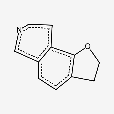 c1cc2c3c(ccc2cn1)CCO3